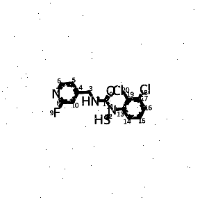 O=C(NCc1ccnc(F)c1)N(S)c1cccc(Cl)c1Cl